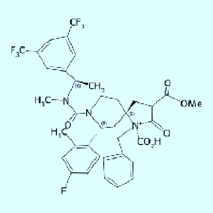 COC(=O)C1C[C@@]2(CCN(C(=O)N(C)[C@H](C)c3cc(C(F)(F)F)cc(C(F)(F)F)c3)[C@@H](c3ccc(F)cc3C)C2)[N+](Cc2ccccc2)(C(=O)O)C1=O